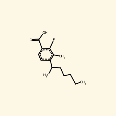 CCCCCC(C)c1ccc(C(=O)O)c(F)c1C